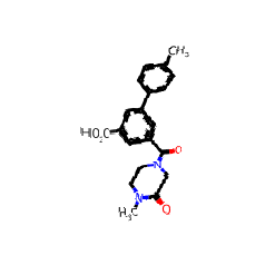 Cc1ccc(-c2cc(C(=O)O)cc(C(=O)N3CCN(C)C(=O)C3)c2)cc1